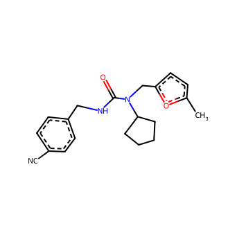 Cc1ccc(CN(C(=O)NCc2ccc(C#N)cc2)C2CCCC2)o1